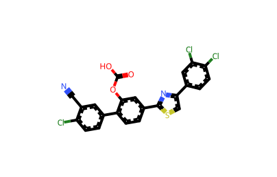 N#Cc1cc(-c2ccc(-c3nc(-c4ccc(Cl)c(Cl)c4)cs3)cc2OC(=O)O)ccc1Cl